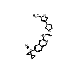 Cn1cc(N2CC[C@@H](C(=O)Nc3cc4cc([C@]5(C#N)CC56CC6)ccc4cn3)C2)cn1